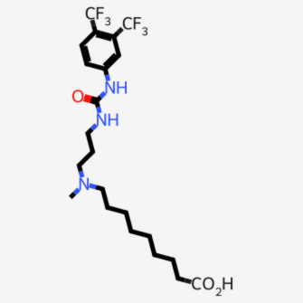 CN(CCCCCCCCC(=O)O)CCCNC(=O)Nc1ccc(C(F)(F)F)c(C(F)(F)F)c1